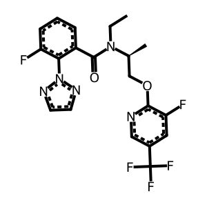 CCN(C(=O)c1cccc(F)c1-n1nccn1)[C@@H](C)COc1ncc(C(F)(F)F)cc1F